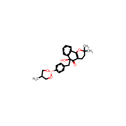 CC1COB(c2ccc(CC3(O)C(=O)C4=C(OC(C)(C)CC4)c4ccccc43)cc2)OC1